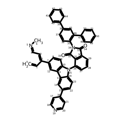 C=C/C(=C\C=N/C)c1ccc2c(c1)c1cc(-c3ccncc3)ccc1n2-c1cccc2c1C(=O)N(c1ccc(-c3ccccc3)cc1-c1ccccc1)C2=O